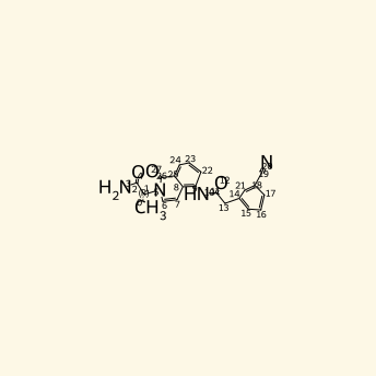 C[C@H](C(N)=O)n1ccc2c(NC(=O)Cc3cccc(C#N)c3)cccc2c1=O